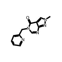 Cn1cc2c(=O)n(Cc3ccccn3)cnc2n1